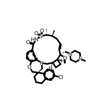 CO[C@]1(CN2CCN(C)CC2)/C=C/C[C@H](C)[C@@H](C)S(=O)(=O)NC(=O)c2ccc3c(c2)N(C[C@@H]2CC[C@H]21)C[C@@]1(CCCc2cc(Cl)ccc21)CO3